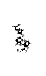 C[C@@H](O)Cn1cc(Nc2ncc(F)c(N[C@H]3[C@@H]4CC[C@@H](C4)[C@H]3C(N)=O)n2)cn1